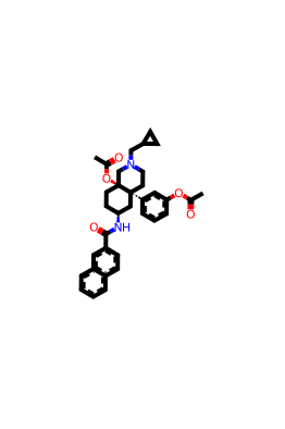 CC(=O)Oc1cccc([C@@]23CCN(CC4CC4)C[C@@]2(OC(C)=O)CC[C@H](NC(=O)c2ccc4ccccc4c2)C3)c1